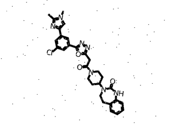 Cc1nc(-c2cc(Cl)cc(-c3nnc(CC(=O)N4CCC(N5CCc6ccccc6NC5=O)CC4)o3)c2)cn1C